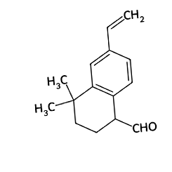 C=Cc1ccc2c(c1)C(C)(C)CCC2C=O